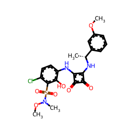 COc1cccc([C@@H](C)Nc2c(Nc3ccc(Cl)c(S(=O)(=O)N(C)OC)c3O)c(=O)c2=O)c1